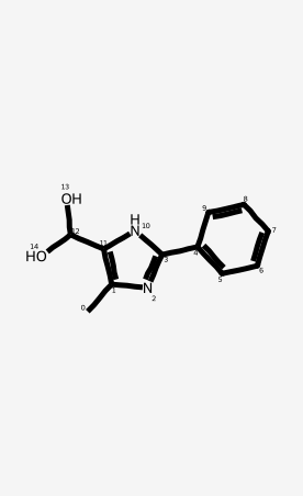 Cc1nc(-c2ccccc2)[nH]c1C(O)O